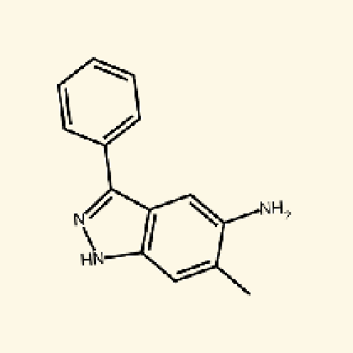 Cc1cc2[nH]nc(-c3ccccc3)c2cc1N